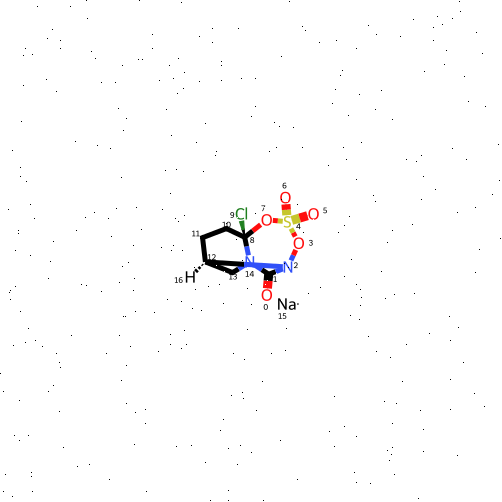 O=C1N2OS(=O)(=O)O[C@@]3(Cl)CC[C@@H]2CN13.[Na]